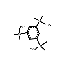 CO[Si](C)(C)c1cc([Si](C)(C)OC)cc([Si](C)(C)OC)c1